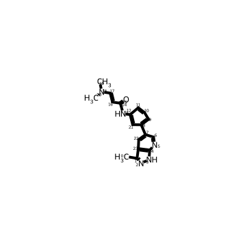 Cc1n[nH]c2ncc(-c3cccc(NC(=O)C=CN(C)C)c3)cc12